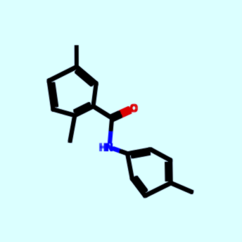 Cc1ccc(NC(=O)c2cc(C)ccc2C)cc1